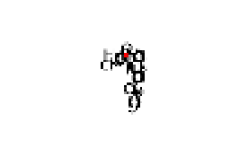 NC(=O)c1cccc2c1C(c1cccc(Cl)c1)=Nc1cc(C(=O)ON3CCOCC3)ccc1S2